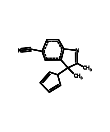 CC1=Nc2ccc(C#N)cc2C1(C)C1C=CC=C1